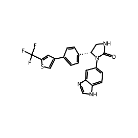 O=C1NC[C@@H](c2ccc(-c3csc(C(F)(F)F)c3)cc2)N1c1ccc2[nH]cnc2c1